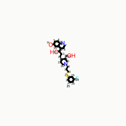 COc1ccc2nccc([C@H](O)CC[C@@H]3CCN(CCCSc4cc(F)cc(F)c4)C[C@@H]3CO)c2c1